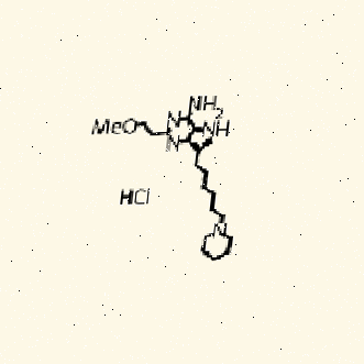 COCCc1nc(N)c2[nH]cc(CCCCCCN3CCCCC3)c2n1.Cl